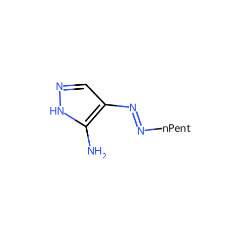 CCCCC/N=N/c1cn[nH]c1N